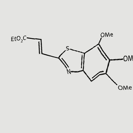 CCOC(=O)C=Cc1nc2cc(OC)c(OC)c(OC)c2s1